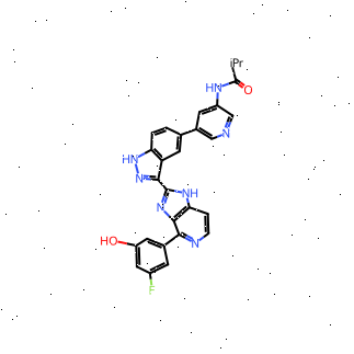 CC(C)C(=O)Nc1cncc(-c2ccc3[nH]nc(-c4nc5c(-c6cc(O)cc(F)c6)nccc5[nH]4)c3c2)c1